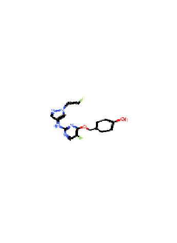 OC1CCC(COc2nc(Nc3cnn(CCF)c3)ncc2F)CC1